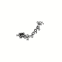 CC(=O)NC[C@H]1CN(c2ccc(N3CCN(C(=O)COC(=S)Nc4ccc(CC(P(=O)(O)O)[PH](O)(O)O)cc4)CC3)c(F)c2)C(=O)O1